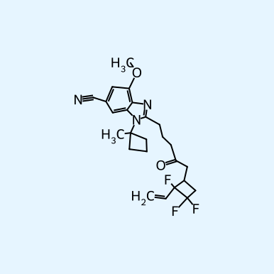 C=CC1(F)C(CC(=O)CCCc2nc3c(OC)cc(C#N)cc3n2C2(C)CCC2)CC1(F)F